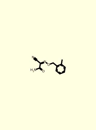 Cc1ccccc1CON=C(C#N)C(N)=O